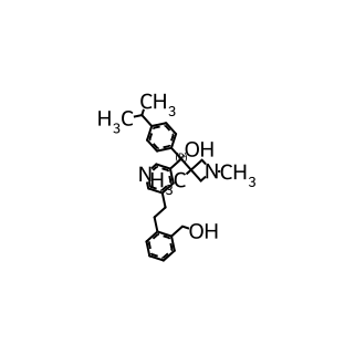 CC(C)c1ccc([C@](O)(c2cncc(CCc3ccccc3CO)c2)C2(C)CN(C)C2)cc1